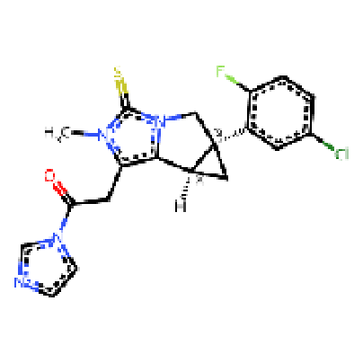 Cn1c(CC(=O)n2ccnc2)c2n(c1=S)C[C@@]1(c3cc(Cl)ccc3F)C[C@@H]21